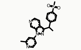 Cc1cc(-n2nc(C(C)c3ccc(S(C)(=O)=O)cc3)c3ccncc32)ccn1